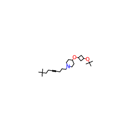 CC(C)(C)CCC#CCCCN1CCC(OC2CC(OC(C)(C)C)C2)CC1